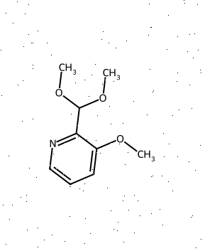 COc1c[c]cnc1C(OC)OC